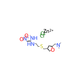 CNC(=C[N+](=O)[O-])NCCSCc1coc(CN(C)C)c1.[Cl-].[Cl-].[Zn+2]